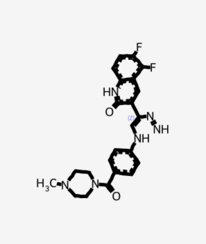 CN1CCN(C(=O)c2ccc(N/C=C(\N=N)c3cc4c(F)c(F)ccc4[nH]c3=O)cc2)CC1